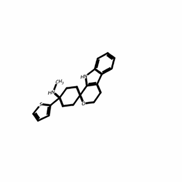 CNC1(c2cccs2)CCC2(CC1)OCCc1c2[nH]c2ccccc12